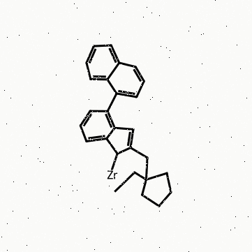 CCC1(CC2=Cc3c(-c4cccc5ccccc45)cccc3[CH]2[Zr])CCCC1